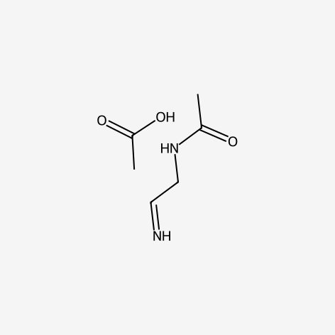 CC(=O)NCC=N.CC(=O)O